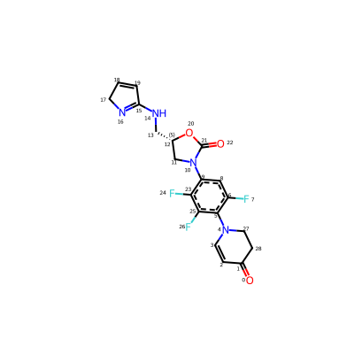 O=C1C=CN(c2c(F)cc(N3C[C@H](CNC4=NCC=C4)OC3=O)c(F)c2F)CC1